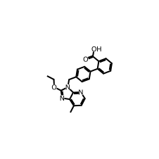 CCOc1nc2c(C)ccnc2n1Cc1ccc(-c2ccccc2C(=O)O)cc1